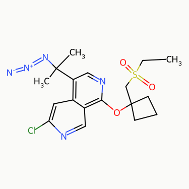 CCS(=O)(=O)CC1(Oc2ncc(C(C)(C)N=[N+]=[N-])c3cc(Cl)ncc23)CCC1